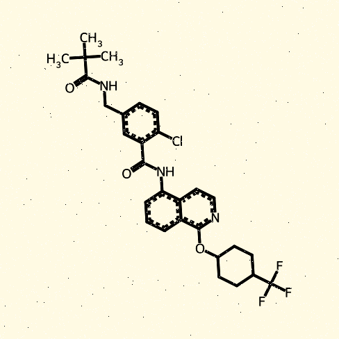 CC(C)(C)C(=O)NCc1ccc(Cl)c(C(=O)Nc2cccc3c(OC4CCC(C(F)(F)F)CC4)nccc23)c1